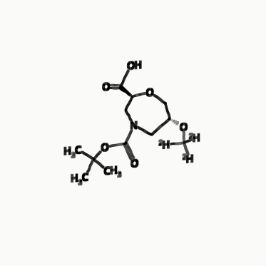 [2H]C([2H])([2H])O[C@H]1CO[C@H](C(=O)O)CN(C(=O)OC(C)(C)C)C1